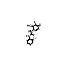 O=C(Nc1ccccc1Br)Nc1ccc(F)c(F)c1O